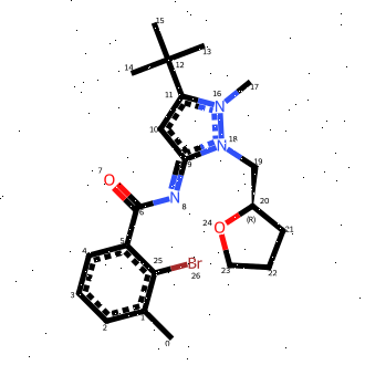 Cc1cccc(C(=O)N=c2cc(C(C)(C)C)n(C)n2C[C@H]2CCCO2)c1Br